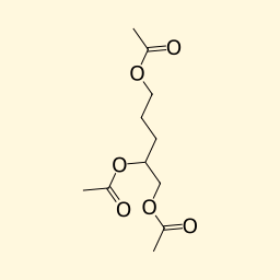 CC(=O)OCCCC(COC(C)=O)OC(C)=O